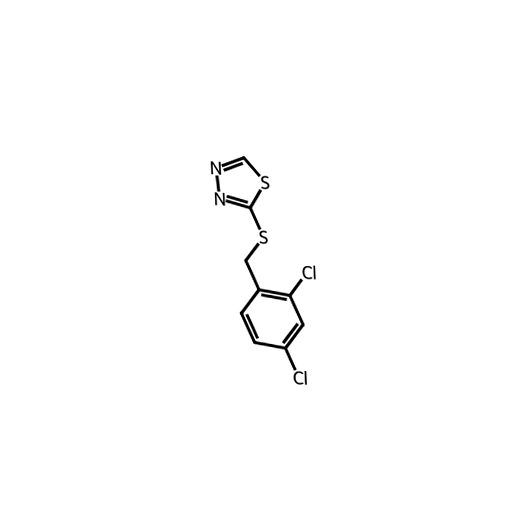 Clc1ccc(CSc2nncs2)c(Cl)c1